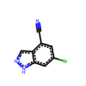 N#Cc1cc(Br)cc2[nH]ncc12